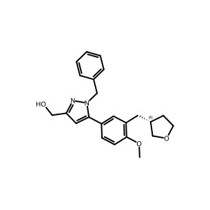 COc1ccc(-c2cc(CO)nn2Cc2ccccc2)cc1C[C@@H]1CCOC1